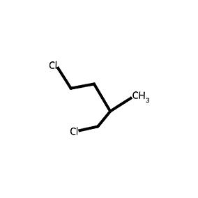 CC(CCl)CCCl